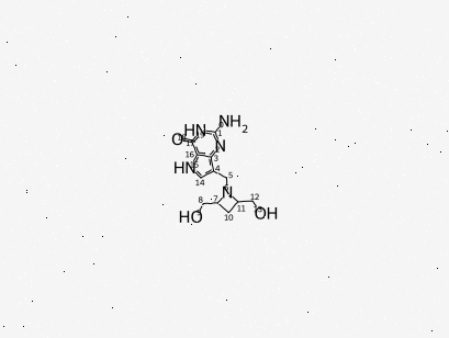 Nc1nc2c(CN3C(CO)CC3CO)c[nH]c2c(=O)[nH]1